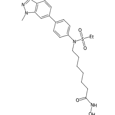 CCS(=O)(=O)N(CCCCCCC(=O)NO)c1ccc(-c2ccc3cnn(C)c3c2)cc1